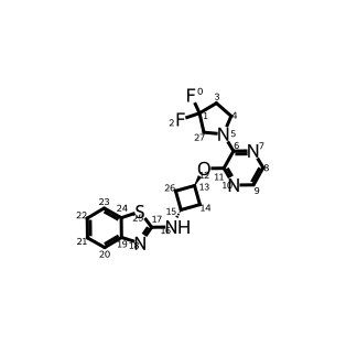 FC1(F)CCN(c2nccnc2O[C@H]2C[C@H](Nc3nc4ccccc4s3)C2)C1